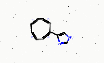 C1=C\C=C/C(c2c[nH]cn2)=C\C=C/1